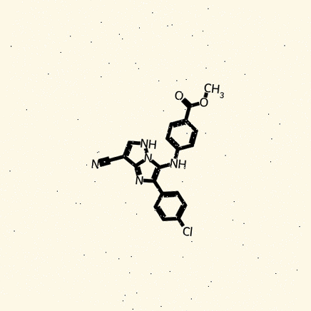 COC(=O)c1ccc(Nc2c(-c3ccc(Cl)cc3)nc3c(C#N)c[nH]n23)cc1